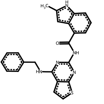 Cc1cc2c(C(=O)Nc3nc(NCc4ccccc4)c4ccsc4n3)cccc2[nH]1